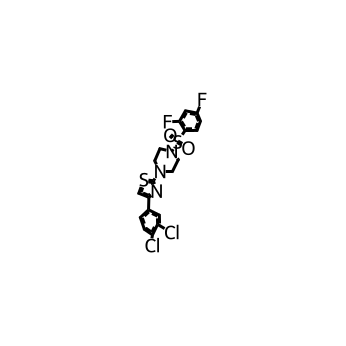 O=S(=O)(c1ccc(F)cc1F)N1CCN(c2nc(-c3ccc(Cl)c(Cl)c3)cs2)CC1